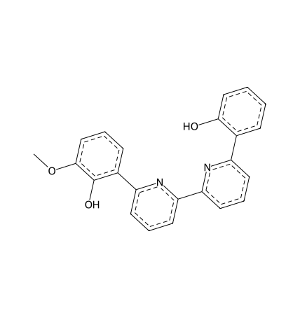 COc1cccc(-c2cccc(-c3cccc(-c4ccccc4O)n3)n2)c1O